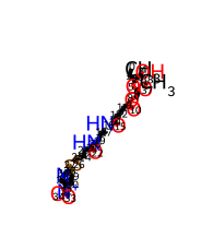 CCC(CO)OC(COC(=O)CCCC(=O)NCCCNC(=O)CCCSSc1ccc([N+](=O)[O-])cn1)OC